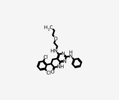 CCCOCCNc1nc(Nc2ccccc2)nc2c1CC(c1c(Cl)cccc1Cl)C(=O)N2